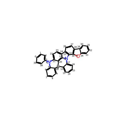 c1ccc(N2c3ccccc3B3c4ccccc4-n4c5c3c2ccc5c2ccc3c5ccccc5oc3c24)cc1